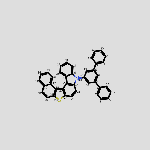 c1ccc(-c2cc(-c3ccccc3)cc(-n3c4ccccc4c4c5c(ccc43)sc3ccc4ccccc4c35)c2)cc1